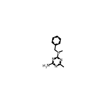 Cc1nc(N)nc(N(C)Cc2ccccc2)n1